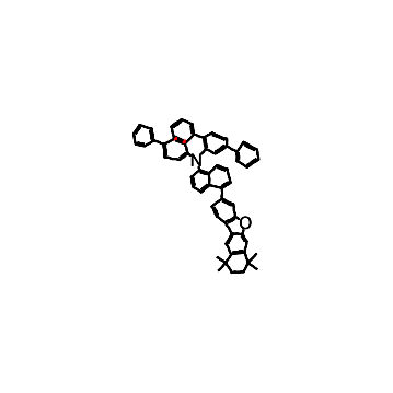 CC1(C)CCC(C)(C)c2cc3c(cc21)oc1cc(-c2cccc4c(N(c5ccc(-c6ccccc6)cc5)c5cc(-c6ccccc6)ccc5-c5ccccc5)cccc24)ccc13